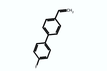 C=Cc1ccc(-c2ccc(F)cc2)cc1